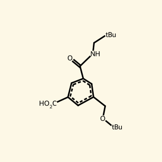 CC(C)(C)CNC(=O)c1cc(COC(C)(C)C)cc(C(=O)O)c1